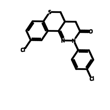 O=C1CC2CSc3ccc(Cl)cc3C2=NN1c1ccc(Cl)cc1